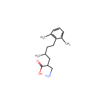 Cc1cccc(C)c1CCC(C)CC(CN)C(=O)O